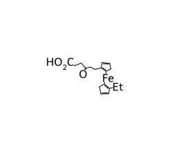 CCC1=[C]([Fe][C]2=C(CCC(=O)CCC(=O)O)C=CC2)CC=C1